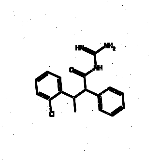 CC(c1ccccc1Cl)C(C(=O)NC(=N)N)c1ccccc1